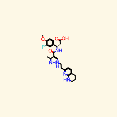 COc1ccc([C@H](CC(=O)O)NC(=O)/C(=C/NCCc2ccc3c(n2)NCCC3)C(C)=N)cc1F